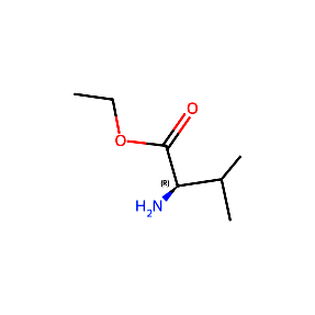 CCOC(=O)[C@H](N)C(C)C